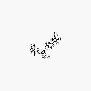 Cc1csc(NC(=O)Cc2nc(N3C[C@@H]4[C@H](C3)[C@H]4NC(=O)c3[nH]c(C)c(Cl)c3Cl)sc2C(=O)O)n1